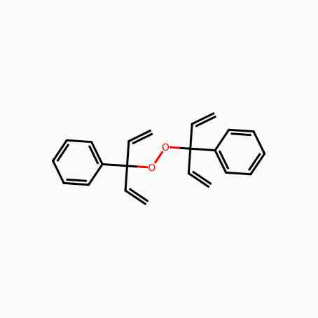 C=CC(C=C)(OOC(C=C)(C=C)c1ccccc1)c1ccccc1